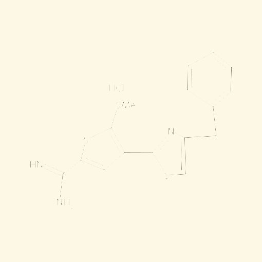 CSc1sc(C(=N)N)cc1-c1nc(Cc2ccccc2)cs1.Cl